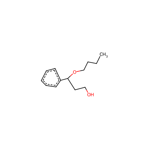 CCCCOC(CCO)c1ccccc1